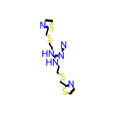 N#CN=C(NCCSCc1nccs1)NCCSCc1nccs1